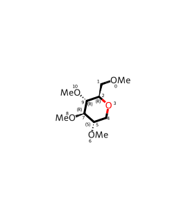 COC[C@H]1OC[C@H](OC)[C@@H](OC)[C@@H]1OC